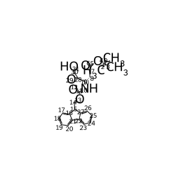 CC(C)(C)OC1OC1C[C@H](NC(=O)OCC1c2ccccc2-c2ccccc21)C1OC1O